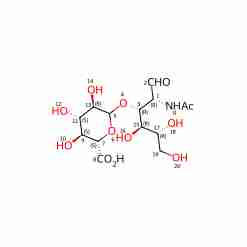 CC(=O)N[C@@H](C=O)[C@@H](OC1O[C@H](C(=O)O)[C@@H](O)[C@H](O)[C@H]1O)[C@H](O)[C@H](O)CO